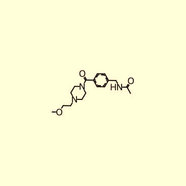 COCCN1CCN(C(=O)c2ccc(CNC(C)=O)cc2)CC1